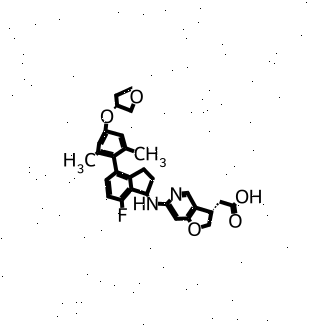 Cc1cc(O[C@@H]2CCOC2)cc(C)c1-c1ccc(F)c2c1CC[C@H]2Nc1cc2c(cn1)[C@H](CC(=O)O)CO2